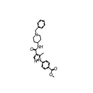 COC(=O)c1ccc(-n2ncc(C(=O)NC3CCN(Cc4ccccc4)CC3)c2C)cc1